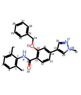 Cc1cccc(C)c1NC(=O)c1ccc(-c2cnn(C)c2)cc1OCc1ccccc1